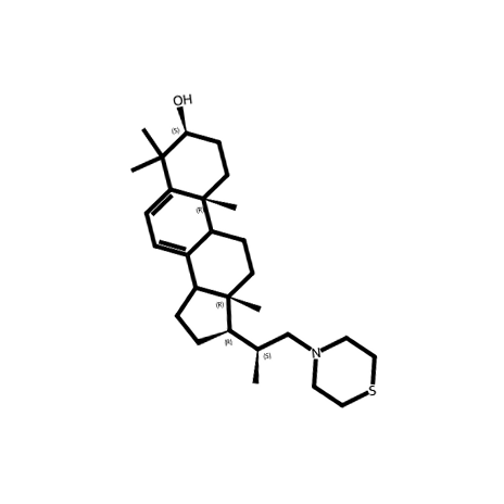 C[C@H](CN1CCSCC1)[C@H]1CCC2C3=CC=C4C(C)(C)[C@@H](O)CC[C@]4(C)C3CC[C@@]21C